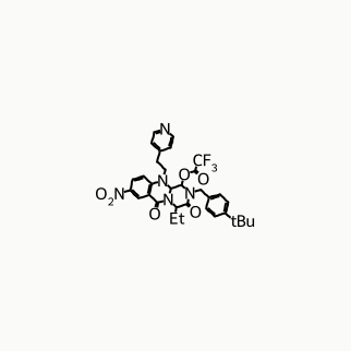 CCC1C(=O)N(Cc2ccc(C(C)(C)C)cc2)C(OC(=O)C(F)(F)F)C2N(CCc3ccncc3)c3ccc([N+](=O)[O-])cc3C(=O)N12